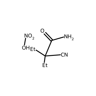 CCC(C#N)(CC)C(N)=O.O=[N+]([O-])O